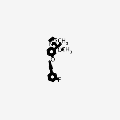 CCC(OC)(c1cccc(OCC#Cc2cccc(F)c2)c1)c1nccs1